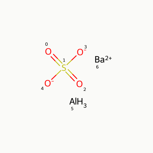 O=S(=O)([O-])[O-].[AlH3].[Ba+2]